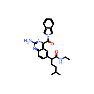 CCNC(=O)C(CCC(C)C)c1ccc2nc(N)nc(C(=O)n3cc4ccccc4c3)c2c1